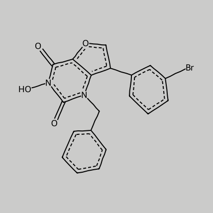 O=c1c2occ(-c3cccc(Br)c3)c2n(Cc2ccccc2)c(=O)n1O